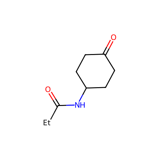 CCC(=O)NC1CCC(=O)CC1